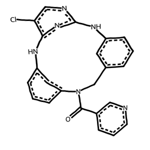 O=C(c1cccnc1)N1Cc2cccc(c2)Nc2ncc(Cl)c(n2)Nc2cccc1c2